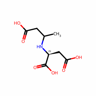 CC(CC(=O)O)N[C@@H](CC(=O)O)C(=O)O